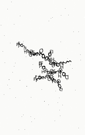 CCCCCCNCC1CCCN(S(=O)(=O)c2ccc(CNC(=O)c3ccc(Cl)cc3)s2)C1.O=C(NCc1ccc(S(=O)(=O)N2CCC(NCc3ccc(C(F)(F)F)cc3)C2)s1)c1ccc(Cl)cc1.O=C(NCc1ccc(S(=O)(=O)N2CCCC(NCc3ccc(C(F)(F)F)cc3)C2)s1)c1ccc(Cl)cc1.O=C(NCc1ccc(S(=O)(=O)N2CC[C@H](CNCc3ccc(C(F)(F)F)cc3)C2)s1)c1ccc(Cl)cc1